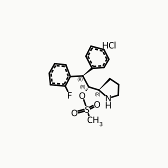 CS(=O)(=O)O[C@H]([C@H](c1ccccc1)c1ccccc1F)[C@H]1CCCN1.Cl